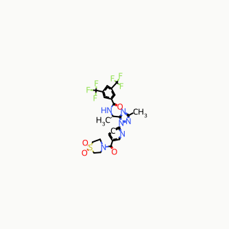 Cc1nc([C@H](C)NC(=O)c2cc(C(F)(F)F)cc(C(F)(F)F)c2)n(-c2ccc(C(=O)N3CCS(=O)(=O)CC3)cn2)n1